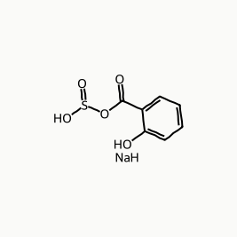 O=C(OS(=O)O)c1ccccc1O.[NaH]